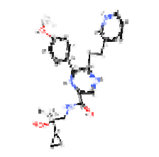 C[C@](O)(CNC(=O)c1cnc(CCc2cccnc2)c(-c2ccc(OC(F)(F)F)cc2)n1)C1CC1